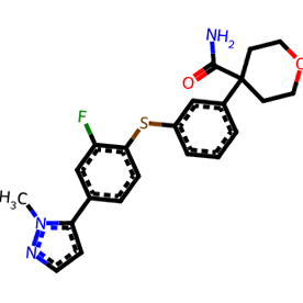 Cn1nccc1-c1ccc(Sc2cccc(C3(C(N)=O)CCOCC3)c2)c(F)c1